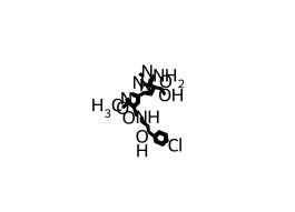 COc1ncc(-c2cc(C(=O)O)c3c(N)ncnn23)cc1C(=O)NCCC(O)c1ccc(Cl)cc1